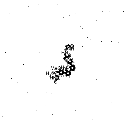 COc1cc(-c2cccc(-c3cccc(-c4ccn5c(=O)c(CNC[C@@H]6CCC(=O)N6)cnc5c4)c3C)c2Cl)ccc1CN(C)[C@H]1CCC(=O)N1